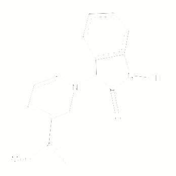 COC(=O)C1=CC=CN(C2C(=O)N(C)c3ccccc32)C1